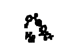 Cn1c(=O)n(CC(C)(C)C)c2ccc(N3CC4CCC3CN4C(=O)c3cccc(C#N)c3)nc21.O=C(O)C(F)(F)F